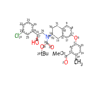 COC(=O)c1cc(Oc2ccc3c(c2)C[C@@H](N(C[C@@H](O)c2cccc(Cl)c2)C(=O)OC(C)(C)C)CC3)ccc1C